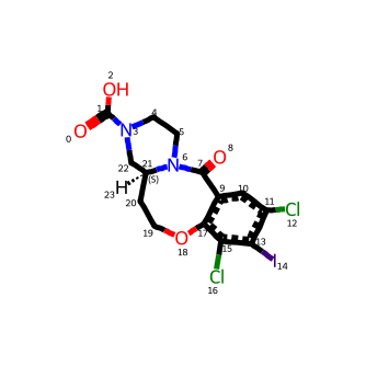 O=C(O)N1CCN2C(=O)c3cc(Cl)c(I)c(Cl)c3OCC[C@H]2C1